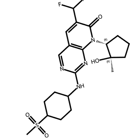 C[C@@]1(O)CCC[C@H]1n1c(=O)c(C(F)F)cc2cnc(NC3CCC(S(C)(=O)=O)CC3)nc21